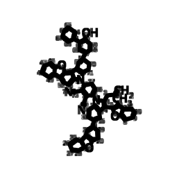 C=CCc1c(-c2oc3ccccc3c2C)c2cc(-c3ccc4c(c3)C3C=CC=CC3O4)ccc2n1C1=CCC(n2c3c(c4c5oc6ccccc6c5ccc42)C=C(c2ccc(O)c(-c4ccccc4)c2)CC3)C(C#N)=C1C#N